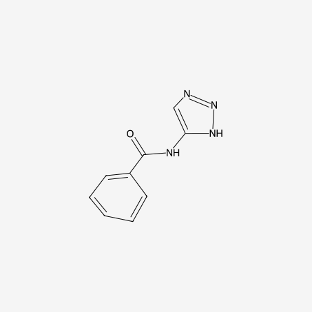 O=C(Nc1cnn[nH]1)c1ccccc1